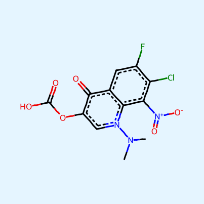 CN(C)n1cc(OC(=O)O)c(=O)c2cc(F)c(Cl)c([N+](=O)[O-])c21